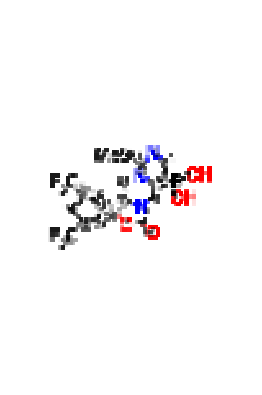 CSc1ncc(B(O)O)c(CN2C(=O)O[C@H](c3cc(C(F)(F)F)cc(C(F)(F)F)c3)[C@@H]2C)n1